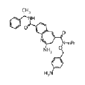 CCCN(OCc1ccc(N)cc1)C(=O)C1=Cc2ccc(C(=O)N[C@@H](C)c3ccccc3)cc2N=C(N)C1